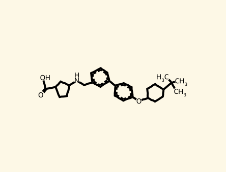 CC(C)(C)C1CCC(Oc2ccc(-c3cccc(CNC4CCC(C(=O)O)C4)c3)cc2)CC1